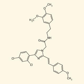 COc1ccc(C=Cc2nc(-c3ccc(Cl)cc3Cl)cn2CC(=O)NCCc2ccc(OC)c(OC)c2)cc1